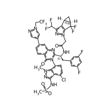 Cn1nc(NS(C)(=O)=O)c2c(Cl)ccc(-n3c([C@H](Cc4cc(F)cc(F)c4)NC(=O)Cn4nc(C(F)F)c5c4C(F)(F)[C@@H]4C[C@H]54)nc4cc(-c5cnn(CC(F)(F)F)c5)ccc4c3=O)c21